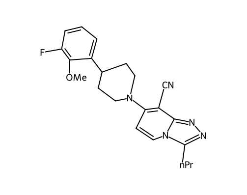 CCCc1nnc2c(C#N)c(N3CCC(c4cccc(F)c4OC)CC3)ccn12